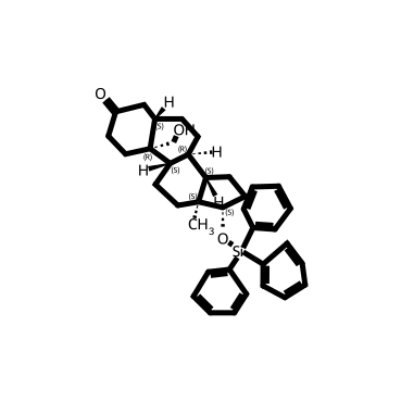 C[C@]12CC[C@H]3[C@@H](CC[C@H]4CC(=O)CC[C@@]43CO)[C@@H]1CC[C@@H]2O[Si](c1ccccc1)(c1ccccc1)c1ccccc1